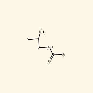 CC(N)CNC(=O)C(C)C